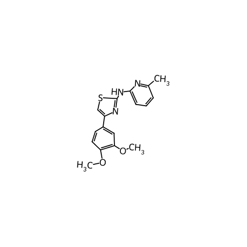 COc1ccc(-c2csc(Nc3cccc(C)n3)n2)cc1OC